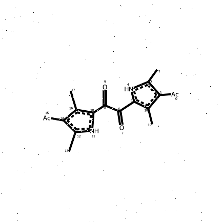 CC(=O)c1c(C)[nH]c(C(=O)C(=O)c2[nH]c(C)c(C(C)=O)c2C)c1C